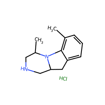 Cc1cccc2c1N1C(C)CNCC1C2.Cl